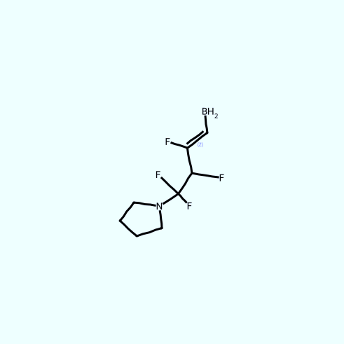 B/C=C(\F)C(F)C(F)(F)N1CCCC1